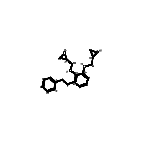 c1ccc(CCc2cccc(OCC3CO3)c2OCC2CO2)cc1